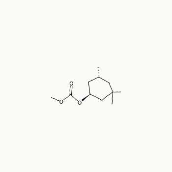 COC(=O)O[C@H]1C[C@H](C)CC(C)(C)C1